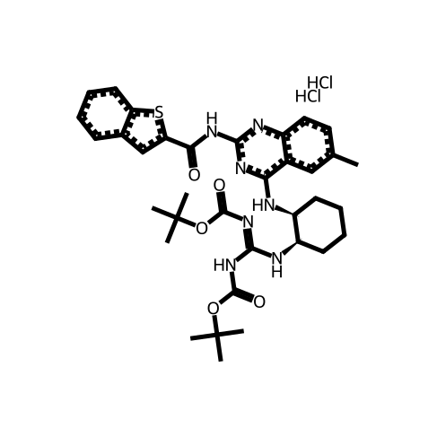 Cc1ccc2nc(NC(=O)c3cc4ccccc4s3)nc(N[C@H]3CCCC[C@H]3N/C(=N/C(=O)OC(C)(C)C)NC(=O)OC(C)(C)C)c2c1.Cl.Cl